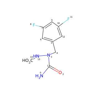 NC(=O)N(Cc1cc(F)cc(F)c1)NC(=O)O